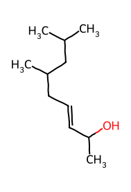 CC(O)/C=C/CC(C)CC(C)C